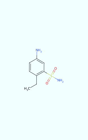 CCc1ccc(N)cc1S(N)(=O)=O